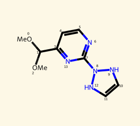 COC(OC)c1ccnc(N2NC=CN2)n1